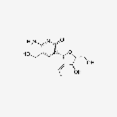 Nc1nc(=O)n([C@@H]2O[C@H](CO)[C@@H](O)C2=CF)cc1CO